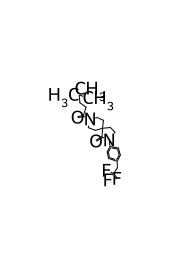 CC(C)(C)CCC(=O)N1CCC2(CC1)CCN(c1ccc(CC(F)(F)F)cc1)C2=O